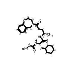 CCCOC(=O)N[C@@H](CC1CCCCC1)C(=O)N[C@H](C)CCC(=O)N1CCOc2ccccc2C1